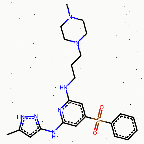 Cc1cc(Nc2cc(S(=O)(=O)c3ccccc3)cc(NCCCN3CCN(C)CC3)n2)n[nH]1